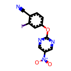 N#Cc1ccc(Oc2ncc([N+](=O)[O-])cn2)cc1I